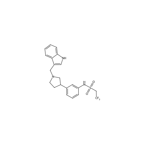 O=S(=O)(CC(F)(F)F)Nc1cccc(C2CCN(Cc3c[nH]c4ccccc34)C2)c1